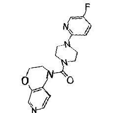 O=C(N1CCN(c2ccc(F)cn2)CC1)N1CCOc2cnccc21